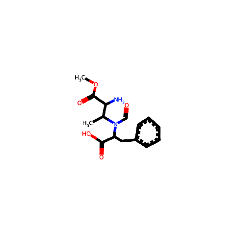 COC(=O)C(N)C(C)N(C=O)C(Cc1ccccc1)C(=O)O